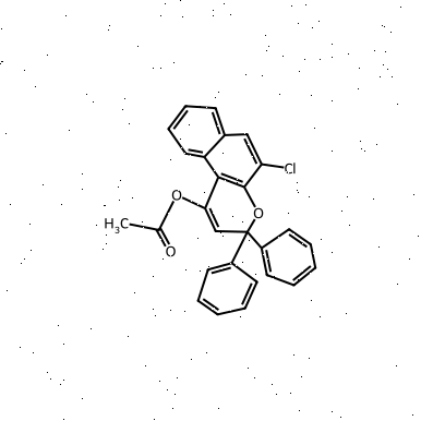 CC(=O)OC1=CC(c2ccccc2)(c2ccccc2)Oc2c(Cl)cc3ccccc3c21